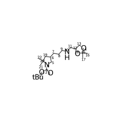 CC(C)(C)OC(=O)N1CC(CCCNCC2COC(C)(C)O2)CC1(C)C